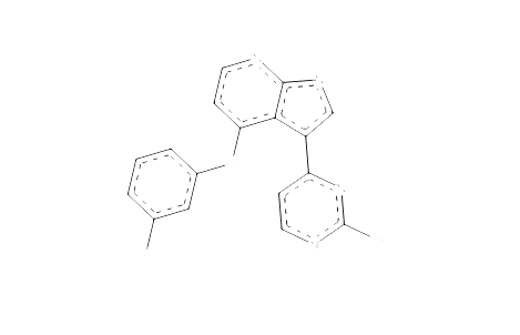 Cl.Oc1nccc(-c2c[nH]c3nccc(Oc4cccc(F)c4)c23)n1